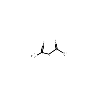 CC(=S)CC(=S)S